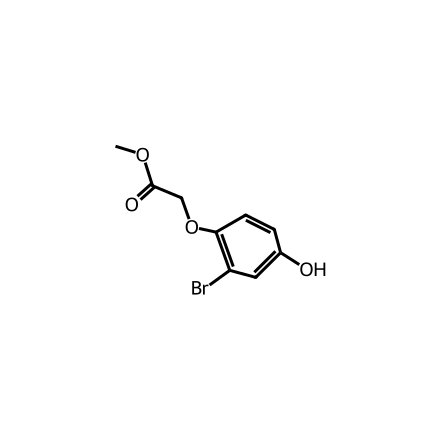 COC(=O)COc1ccc(O)cc1Br